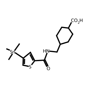 [CH3][Sn]([CH3])([CH3])[c]1csc(C(=O)NCC2CCC(C(=O)O)CC2)c1